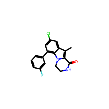 Cc1c2n(c3c(-c4cccc(F)c4)cc(Cl)cc13)CCNC2=O